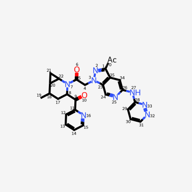 CC(=O)c1nn(CC(=O)N2C(C(=O)c3ccccn3)CC(C)C3CC32)c2cnc(Nc3cccnn3)cc12